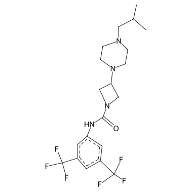 CC(C)CN1CCN(C2CN(C(=O)Nc3cc(C(F)(F)F)cc(C(F)(F)F)c3)C2)CC1